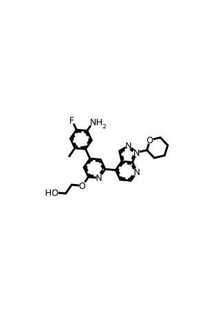 Cc1cc(F)c(N)cc1-c1cc(OCCO)nc(-c2ccnc3c2cnn3C2CCCCO2)c1